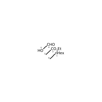 CCCCCCC.CCOC(C)=O.O=CO